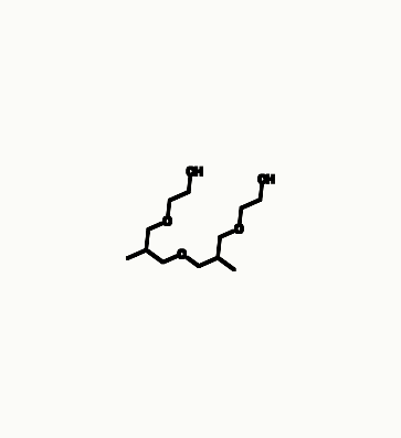 CC(COCCO)COCC(C)COCCO